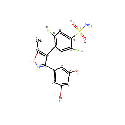 Cc1onc(-c2cc(Br)cc(Br)c2)c1-c1cc(F)c(S(N)(=O)=O)cc1F